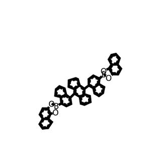 c1ccc2c3c(ccc2c1)OB(c1ccc(-c2c4ccccc4c(-c4ccc(B5Oc6ccc7ccccc7c6O5)c5ccccc45)c4ccccc24)c2ccccc12)O3